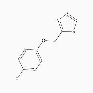 Fc1ccc(OCc2n[c]cs2)cc1